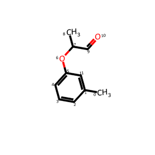 Cc1cccc(OC(C)C=O)c1